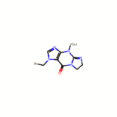 CCCCCCCCN1C2=NCCN2C(=O)c2c1ncn2CC(C)C